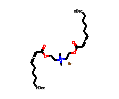 CCCCCCCCCCCCCCC=C=CC(=O)OCC[N+](C)(C)CCOC(=O)C=C=CCCCCCCCCCCCCCC.[Br-]